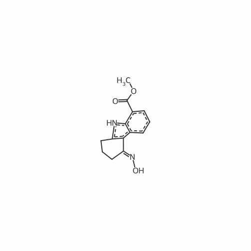 COC(=O)c1cccc2c3c([nH]c12)CCCC3=NO